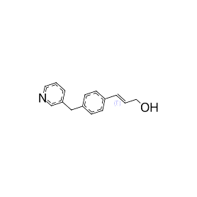 OC/C=C/c1ccc(Cc2cccnc2)cc1